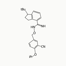 CC(C)Oc1ccc(CONC(=N)c2cccc3c2CC[C]3C(C)(C)C)cc1C#N